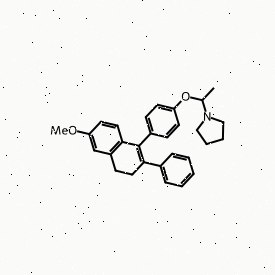 COc1ccc2c(c1)CCC(c1ccccc1)=C2c1ccc(OC(C)N2CCCC2)cc1